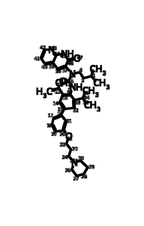 CC(C)CCN(C(=O)Nc1c(C(C)C)cc(-c2cccc(OCCCN3CCCCC3)c2)cc1C(C)C)c1cc2cccnc2[nH]c1=O